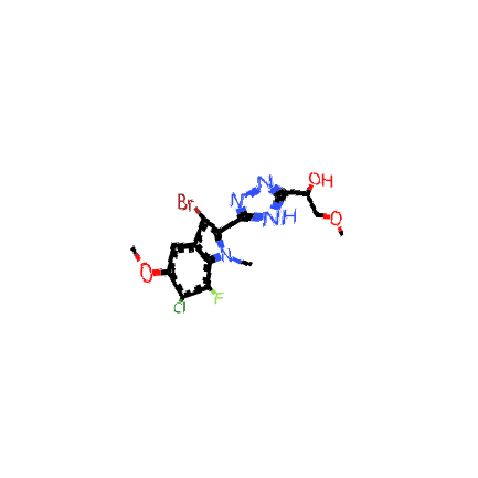 COCC(O)c1nnc(-c2c(Br)c3cc(OC)c(Cl)c(F)c3n2C)[nH]1